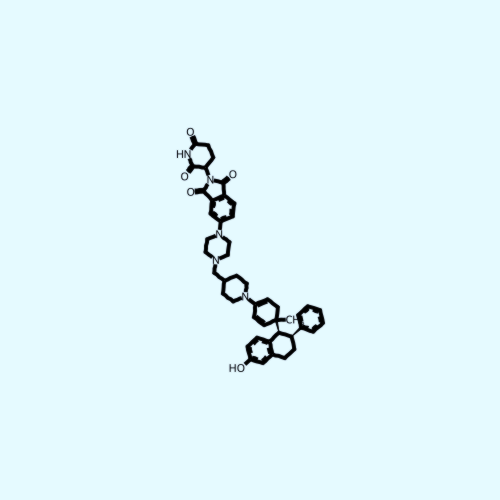 CC1([C@@H]2c3ccc(O)cc3CC[C@@H]2c2ccccc2)C=CC(N2CCC(CN3CCN(c4ccc5c(c4)C(=O)N(C4CCC(=O)NC4=O)C5=O)CC3)CC2)=CC1